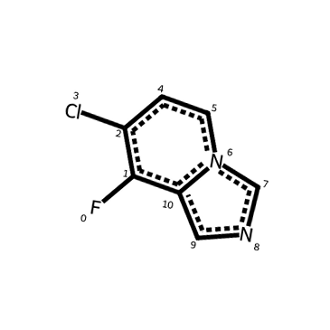 Fc1c(Cl)ccn2cncc12